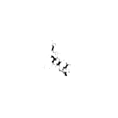 Cc1nc([C@H](C)N)n(-c2cnc(C(=O)NCC#N)cn2)n1.Cl